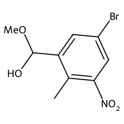 COC(O)c1cc(Br)cc([N+](=O)[O-])c1C